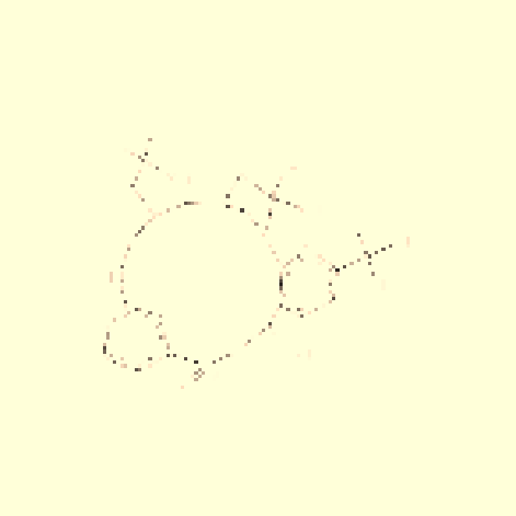 CC(C)(C)CC1CNc2cccc(n2)S(=O)(=O)NC(O)c2ccc(C(C)(C)C)nc2N2C[C@@H](C1)CC2(C)C